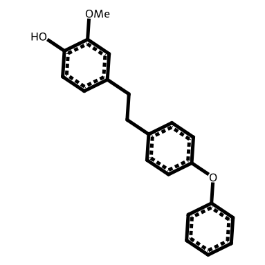 COc1cc(CCc2ccc(Oc3ccccc3)cc2)ccc1O